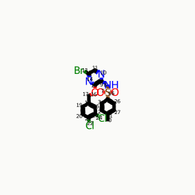 Cc1ccc(S(=O)(=O)Nc2ncc(Br)nc2OCc2ccc(Cl)c(Cl)c2)cc1